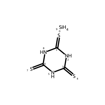 S=c1[nH]c(=S)[nH]c(=S)[nH]1.[SiH4]